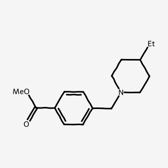 CCC1CCN(Cc2ccc(C(=O)OC)cc2)CC1